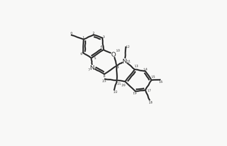 Cc1ccc2c(c1)N=CC1(O2)N(C)c2cc(C)c(C)cc2C1(C)C